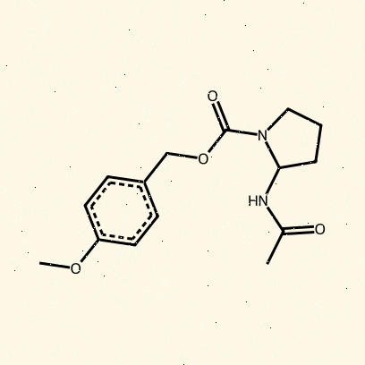 COc1ccc(COC(=O)N2CCCC2NC(C)=O)cc1